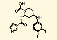 O=C(O)N1CCC(Nc2ccc(F)c(F)c2)CC1OC(=O)n1ccnc1